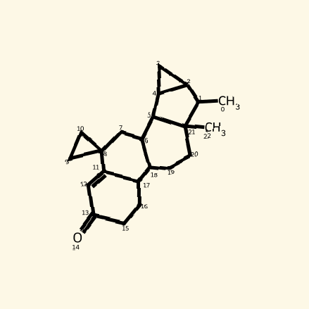 CC1C2CC2C2C3CC4(CC4)C4=CC(=O)CCC4C3CCC12C